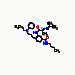 CCCCNC(=O)c1ccc(CCCN(CCC)c2ccccc2)c(NC(=O)/C(C)=C/N=C(C)C)c1